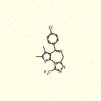 Cc1sc2c(c1C)C(c1ccc(Cl)cc1)=NCc1nnc(C(F)(F)F)n1-2